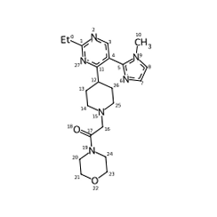 CCc1ncc(-c2nccn2C)c(C2CCN(CC(=O)N3CCOCC3)CC2)n1